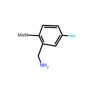 CNc1ccc(F)cc1CN